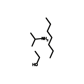 CC(C)N.CCCCCCC.CCO